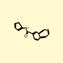 O=C(NC1=CC=CC1)c1ccc2ccccc2c1